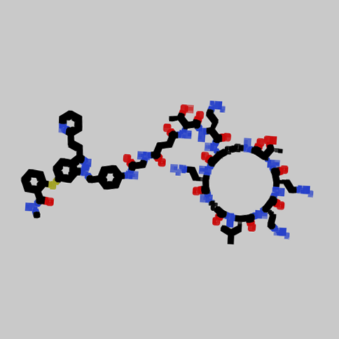 CNC(=O)c1ccccc1Sc1ccc2c(/C=C/c3ccccn3)nn(Cc3ccc(NC(=O)CNC(=O)CCC(=O)N[C@H](C(=O)N[C@@H](CCN)C(=O)N[C@H]4CCNC(=O)[C@H]([C@@H](C)O)NC(=O)[C@H](CCN)NC(=O)[C@H](CCN)NC(=O)[C@H](CC(C)C)NC(=O)CNC(=O)[C@H](CCN)NC4=O)[C@@H](C)O)cc3)c2c1